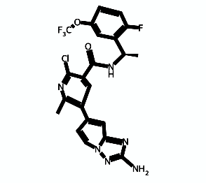 Cc1nc(Cl)c(C(=O)N[C@H](C)c2cc(OC(F)(F)F)ccc2F)cc1-c1ccn2nc(N)nc2c1